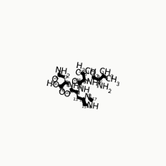 CC(C)[C@H](N)C(=O)N[C@H](C(=O)N[C@@H](Cc1c[nH]cn1)C(=O)N[C@@H](CC(N)=O)C(=O)O)C(C)C